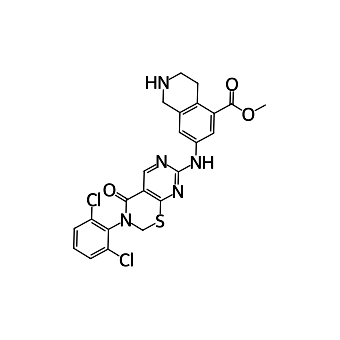 COC(=O)c1cc(Nc2ncc3c(n2)SCN(c2c(Cl)cccc2Cl)C3=O)cc2c1CCNC2